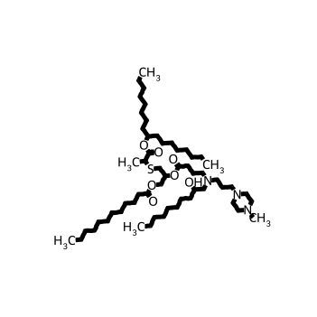 CCCCCCCCCCCC(=O)OCC(CSC(C)C(=O)OC(CCCCCCCC)CCCCCCCC)OC(=O)CCCN(CCCN1CCN(C)CC1)CC(O)CCCCCCCC